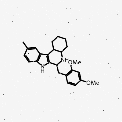 COc1ccc(CC2NC3CCCCC3c3c2[nH]c2ccc(C)cc32)c(OC)c1